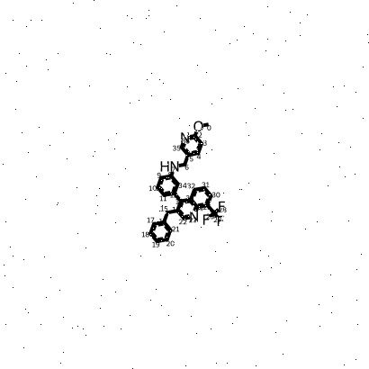 COc1ccc(CNc2cccc(-c3c(Cc4ccccc4)cnc4c(C(F)(F)F)cccc34)c2)cn1